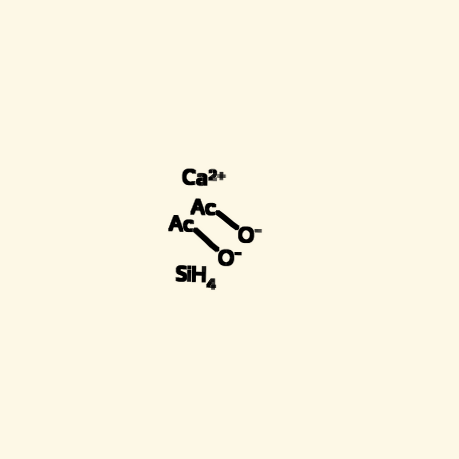 CC(=O)[O-].CC(=O)[O-].[Ca+2].[SiH4]